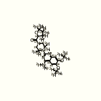 [2H]N([2H])c1nc(N2C([2H])([2H])CN(C(=O)C3OC([2H])([2H])C([2H])([2H])C3([2H])[2H])CC2([2H])[2H])nc2cc(OC([2H])([2H])[2H])c(OC([2H])([2H])[2H])cc12